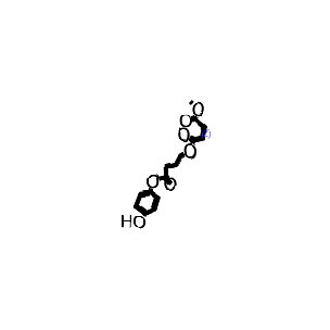 COC(=O)/C=C\C(=O)OCCCC(=O)Oc1ccc(O)cc1